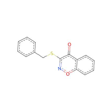 O=c1c(SCc2ccccc2)noc2ccccc12